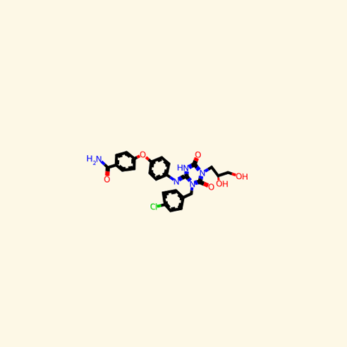 NC(=O)c1ccc(Oc2ccc(/N=c3\[nH]c(=O)n(C[C@H](O)CO)c(=O)n3Cc3ccc(Cl)cc3)cc2)cc1